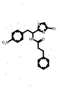 CCc1csc(C(Cc2ccc([N+](=O)[O-])cc2)NC(=O)CCc2ccccc2)n1